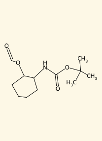 CC(C)(C)OC(=O)NC1CCCCC1OC=O